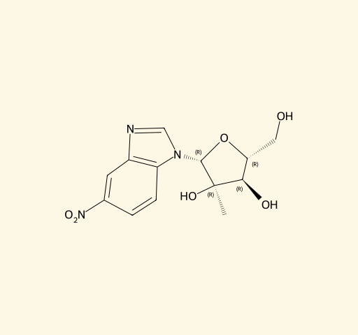 C[C@@]1(O)[C@H](O)[C@@H](CO)O[C@H]1n1cnc2cc([N+](=O)[O-])ccc21